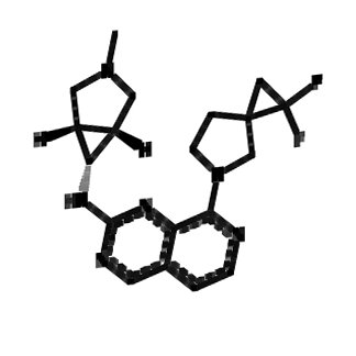 CN1C[C@@H]2[C@H](C1)[C@@H]2Nc1ncc2ccnc(N3CCC4(C3)CC4(F)F)c2n1